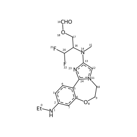 CCNc1ccc2c(c1)OCCn1cc(N(C)C(COC=O)C(F)F)nc1-2